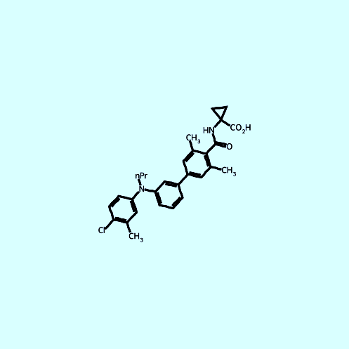 CCCN(c1cccc(-c2cc(C)c(C(=O)NC3(C(=O)O)CC3)c(C)c2)c1)c1ccc(Cl)c(C)c1